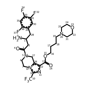 NC(CC(=O)N1CCn2c(C(F)(F)F)nc(C(=O)OCCCCN3CCOCC3)c2C1)Cc1cc(F)c(F)cc1F